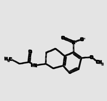 CCC(=O)NC1CCc2c(ccc(OC)c2[N+](=O)[O-])C1